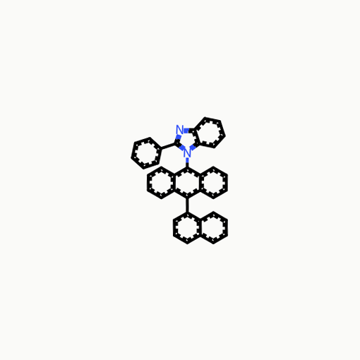 c1ccc(-c2nc3ccccc3n2-c2c3ccccc3c(-c3cccc4ccccc34)c3ccccc23)cc1